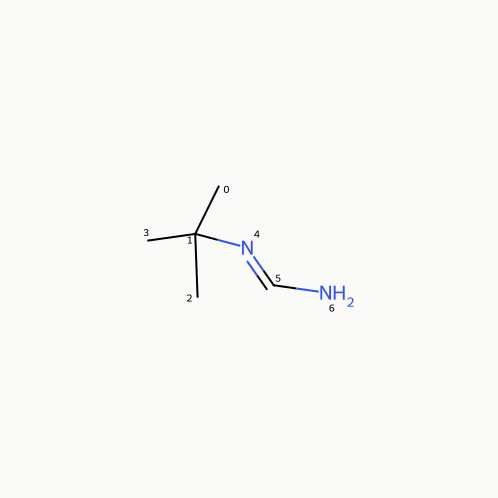 CC(C)(C)N=CN